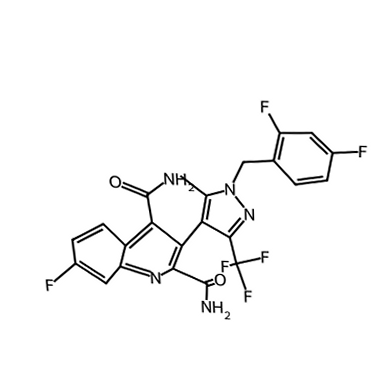 Cc1c(-c2c(C(N)=O)nc3cc(F)ccc3c2C(N)=O)c(C(F)(F)F)nn1Cc1ccc(F)cc1F